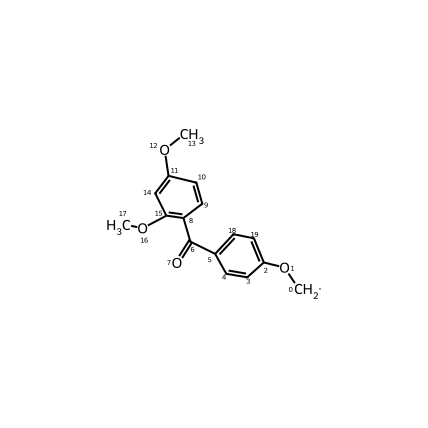 [CH2]Oc1ccc(C(=O)c2ccc(OC)cc2OC)cc1